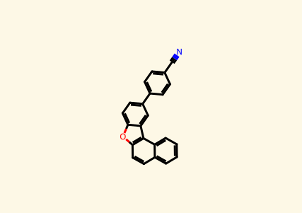 N#Cc1ccc(-c2ccc3oc4ccc5ccccc5c4c3c2)cc1